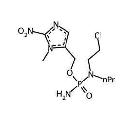 CCCN(CCCl)P(N)(=O)OCc1cnc([N+](=O)[O-])n1C